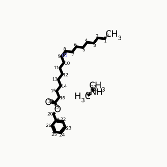 CCCCCCCC/C=C\CCCCCCCC(=O)OCc1ccccc1.CNC